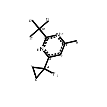 Cc1cc(C2(F)CC2)nc(C(C)(C)C)n1